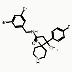 CC(CC(=O)NCc1cc(Br)cc(Br)c1)(c1ccc(F)cc1)C1(F)CCNCC1